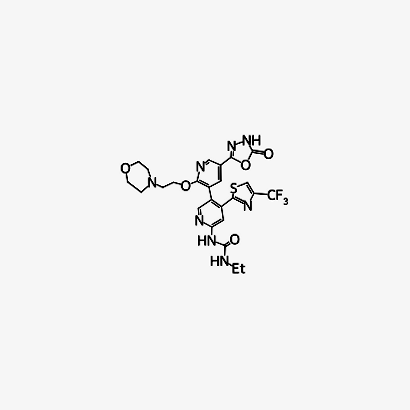 CCNC(=O)Nc1cc(-c2nc(C(F)(F)F)cs2)c(-c2cc(-c3n[nH]c(=O)o3)cnc2OCCN2CCOCC2)cn1